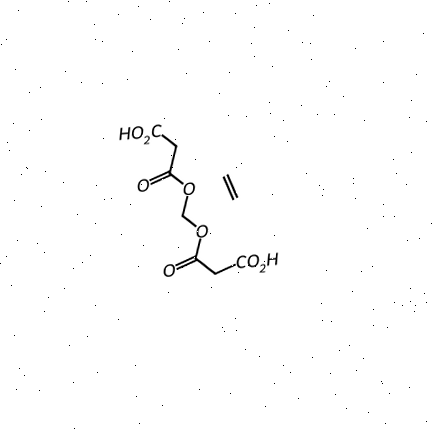 C=C.O=C(O)CC(=O)OCOC(=O)CC(=O)O